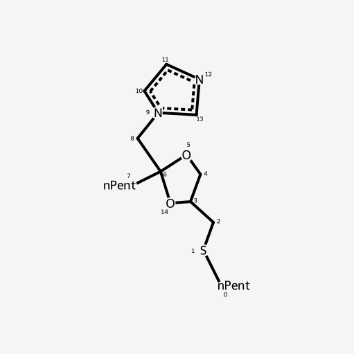 CCCCCSCC1COC(CCCCC)(Cn2ccnc2)O1